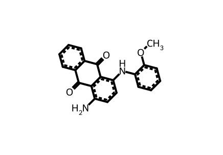 COc1ccccc1Nc1ccc(N)c2c1C(=O)c1ccccc1C2=O